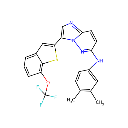 Cc1ccc(Nc2ccc3ncc(-c4cc5cccc(OC(F)(F)F)c5s4)n3n2)cc1C